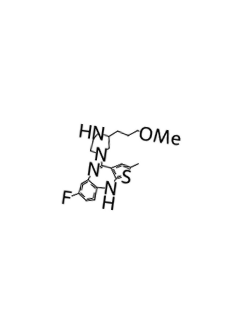 COCCCC1CN(C2=Nc3cc(F)ccc3Nc3sc(C)cc32)CCN1